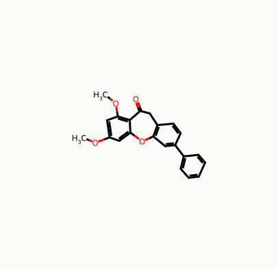 COc1cc(OC)c2c(c1)Oc1cc(-c3ccccc3)ccc1CC2=O